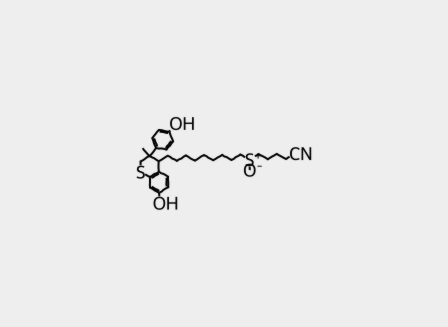 CC1(c2ccc(O)cc2)CSc2cc(O)ccc2C1CCCCCCCCC[S+]([O-])CCCCC#N